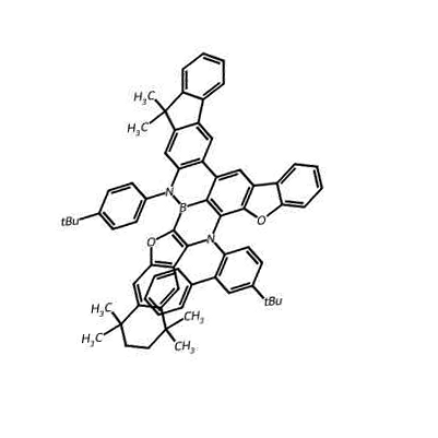 CC(C)(C)c1ccc(N2B3c4oc5cc6c(cc5c4N(c4ccc(C(C)(C)C)cc4-c4ccccc4)c4c3c(cc3c4oc4ccccc43)-c3cc4c(cc32)C(C)(C)c2ccccc2-4)C(C)(C)CCC6(C)C)cc1